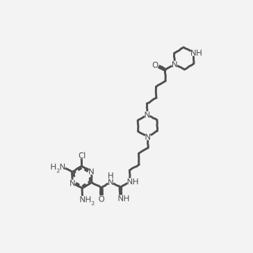 N=C(NCCCCN1CCN(CCCCC(=O)N2CCNCC2)CC1)NC(=O)c1nc(Cl)c(N)nc1N